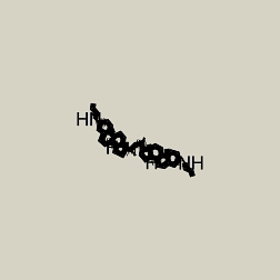 CCCN[C@H]1CCC2(C)C(=CC[C@H]3C2CCC2(C)C3CCC2[C@H](C)C[C@@H](C)C2CCC3[C@H]4CC=C5C[C@@H](NCCC)CCC5(C)C4CCC32C)C1